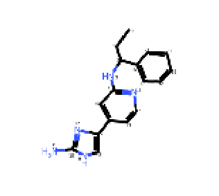 CCC(Nc1cc(-c2c[nH]c(N)n2)ccn1)c1ccccc1